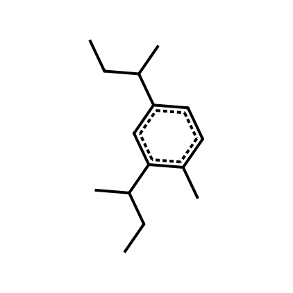 CCC(C)c1ccc(C)c(C(C)CC)c1